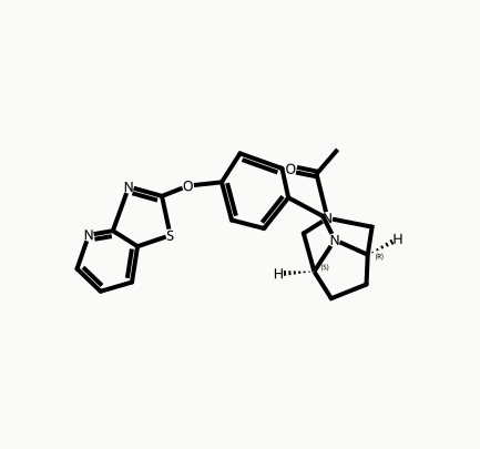 CC(=O)N1C[C@H]2CC[C@@H](C1)N2Cc1ccc(Oc2nc3ncccc3s2)cc1